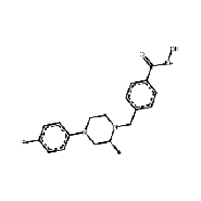 C[C@H]1CN(c2ccc(F)cc2)CCN1Cc1ccc(C(=O)NO)cc1